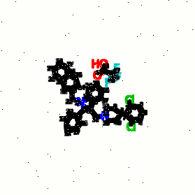 Clc1cccc(Cl)c1C1CCN(Cc2c(-c3ccccc3)n(Cc3ccc4ccccc4c3)c3ccccc23)CC1.O=C(O)C(F)(F)F